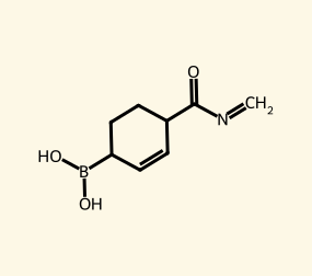 C=NC(=O)C1C=CC(B(O)O)CC1